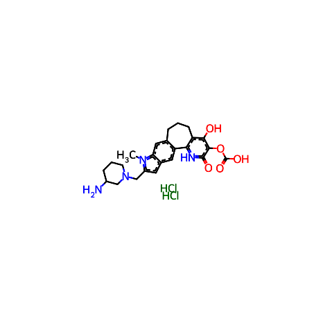 Cl.Cl.Cn1c(CN2CCCC(N)C2)cc2cc3c(cc21)CCCc1c-3[nH]c(=O)c(OC(=O)O)c1O